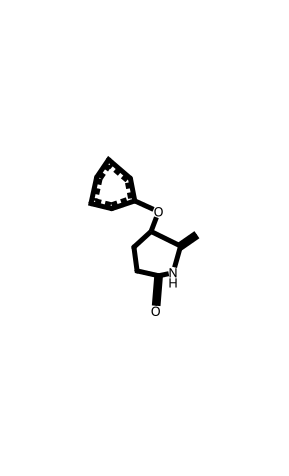 C=C1NC(=O)CCC1Oc1ccccc1